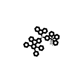 C[SH](c1ccccc1)(c1ccccc1)(c1ccccc1)c1ccc(N(c2ccc3c(c2)c2ccccc2c2c(-c4ccccc4)cc(-c4ccccc4)c(-c4ccccc4)c32)c2cc3ccccc3c3ccccc23)cc1